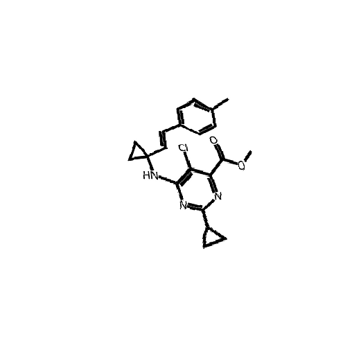 COC(=O)c1nc(C2CC2)nc(NC2(C=Cc3ccc(C)cc3)CC2)c1Cl